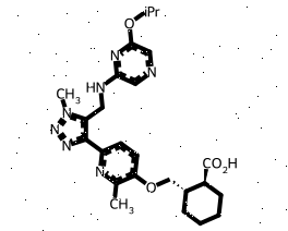 Cc1nc(-c2nnn(C)c2CNc2cncc(OC(C)C)n2)ccc1OC[C@H]1CCCC[C@@H]1C(=O)O